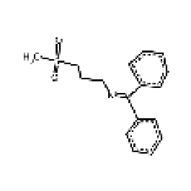 CS(=O)(=O)CCCN=C(c1ccccc1)c1ccccc1